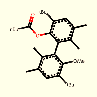 CCCCC(=O)Oc1c(C(C)(C)C)cc(C)c(C)c1-c1c(C)c(C)cc(C(C)(C)C)c1OC